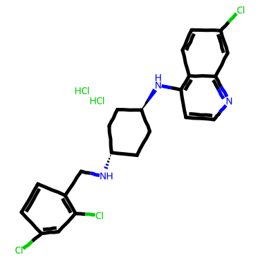 Cl.Cl.Clc1ccc(CN[C@H]2CC[C@H](Nc3ccnc4cc(Cl)ccc34)CC2)c(Cl)c1